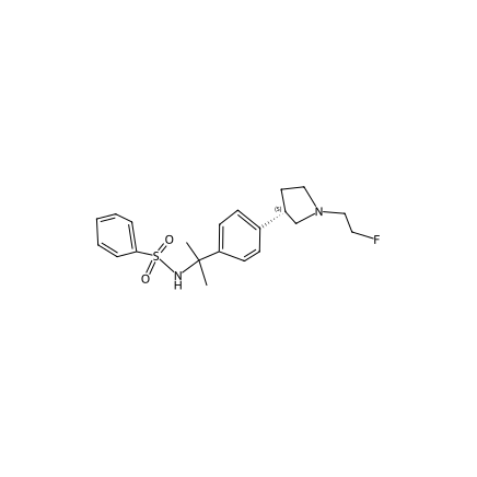 CC(C)(NS(=O)(=O)c1ccccc1)c1ccc([C@@H]2CCN(CCF)C2)cc1